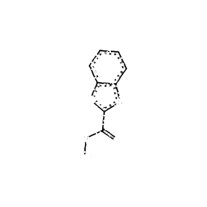 CCC[N]C(=O)c1nc2ccccc2o1